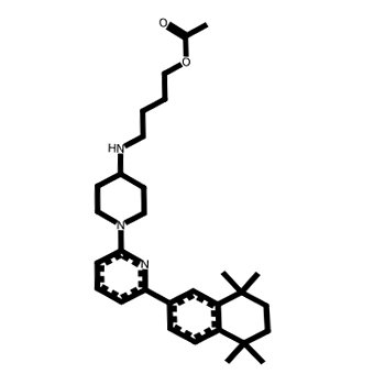 CC(=O)OCCCCNC1CCN(c2cccc(-c3ccc4c(c3)C(C)(C)CCC4(C)C)n2)CC1